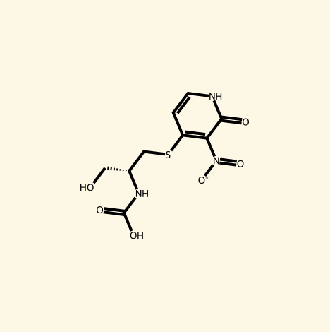 O=C(O)N[C@H](CO)CSc1cc[nH]c(=O)c1[N+](=O)[O-]